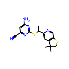 CC(Sc1nc(N)cc(C#N)n1)c1cc2c(cn1)SCC2(C)C